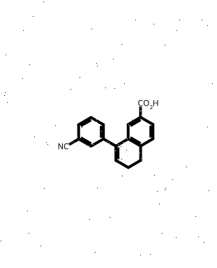 N#Cc1cccc(C2=CCCc3ccc(C(=O)O)cc32)c1